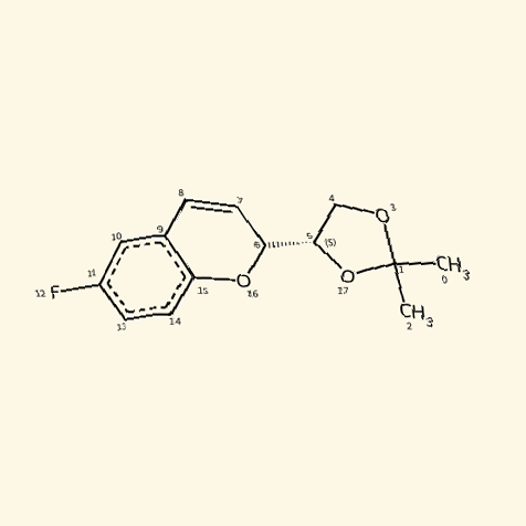 CC1(C)OC[C@@H](C2C=Cc3cc(F)ccc3O2)O1